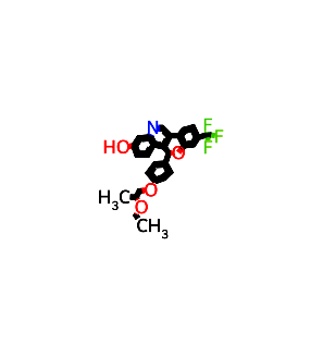 CCOC(C)COc1ccc(C2Oc3cc(C(F)(F)F)ccc3-c3cnc4cc(O)ccc4c32)cc1